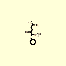 CC(C)CCC(O)C(N)SC1CCCCC1.Cl